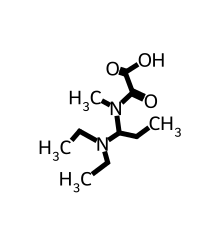 CCC(N(CC)CC)N(C)C(=O)C(=O)O